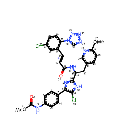 COC(=O)Nc1ccc(-c2nc([C@H](Cc3ccc(OC)nc3)NC(=O)/C=C/c3cc(Cl)ccc3-n3cnnn3)[nH]c2Cl)cc1